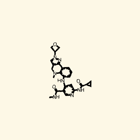 CNC(=O)c1cnc(NC(=O)C2CC2)cc1Nc1cccc2c1N(C)Cc1cn(C3COC3)nc1-2